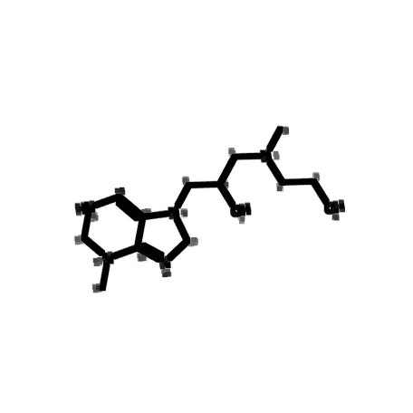 CN(CCO)CC(O)CN1CN=C2C1=CNCN2C